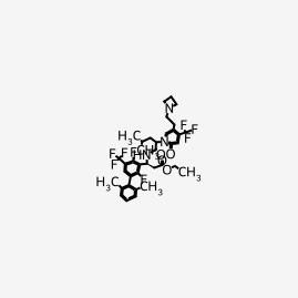 CCOC(=O)C[C@H](NC(=O)C(CC(C)C)n1cc(CCN2CCC2)c(C(F)(F)F)cc1=O)c1c(F)c(-c2c(C)cccc2C)cc(C(F)(F)F)c1F